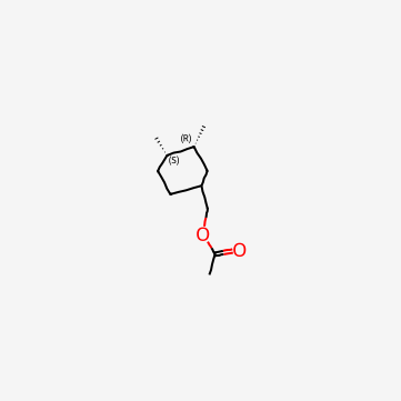 CC(=O)OCC1CC[C@H](C)[C@H](C)C1